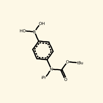 CC(C)N(C(=O)OC(C)(C)C)c1ccc(B(O)O)cc1